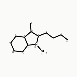 CCCCC1C(C)C2CCCCC2N1N